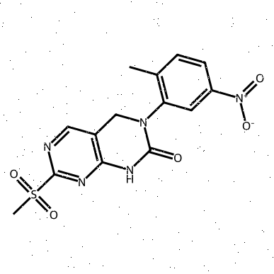 Cc1ccc([N+](=O)[O-])cc1N1Cc2cnc(S(C)(=O)=O)nc2NC1=O